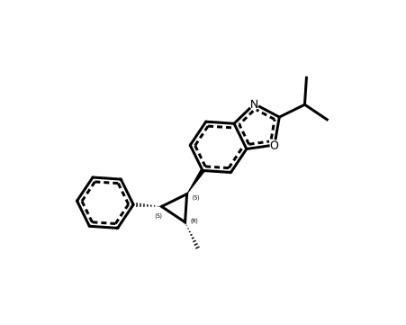 CC(C)c1nc2ccc([C@H]3[C@H](C)[C@@H]3c3ccccc3)cc2o1